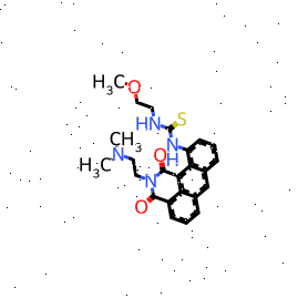 COCCNC(=S)Nc1cccc2cc3cccc4c3c(c12)C(=O)N(CCN(C)C)C4=O